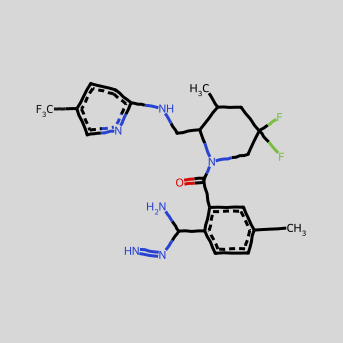 Cc1ccc(C(N)N=N)c(C(=O)N2CC(F)(F)CC(C)C2CNc2ccc(C(F)(F)F)cn2)c1